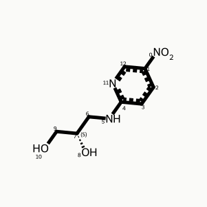 O=[N+]([O-])c1ccc(NC[C@H](O)CO)nc1